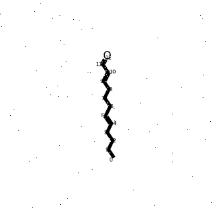 CCCCC=CCCCC=CC=O